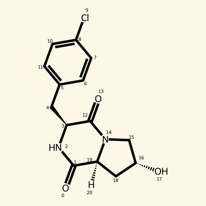 O=C1N[C@@H](Cc2ccc(Cl)cc2)C(=O)N2C[C@H](O)C[C@@H]12